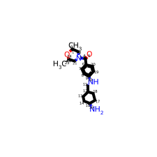 CC1CN(C(=O)c2ccc(NCC3CCC(N)CC3)cc2)C[C@H](C)O1